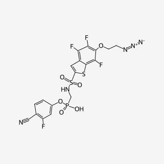 N#Cc1ccc(OP(=O)(O)CNS(=O)(=O)c2cc3c(F)c(F)c(OCCN=[N+]=[N-])c(F)c3s2)cc1F